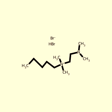 Br.CCCCC[N+](C)(C)CCN(C)C.[Br-]